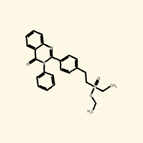 CCOP(=O)(CC)CCc1ccc(-c2nc3ccccc3c(=O)n2-c2ccccc2)cc1